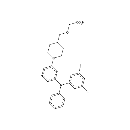 O=C(O)COCC1CCN(c2cncc(N(c3ccccc3)c3cc(F)cc(F)c3)n2)CC1